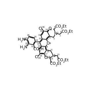 CCOC(=O)CN(CC(=O)OCC)Cc1c2oc3c(CN(CC(=O)OCC)CC(=O)OCC)c(O)c(Cl)cc3c(-c3ccc(N)c(N)c3C(=O)O)c-2cc(Cl)c1=O